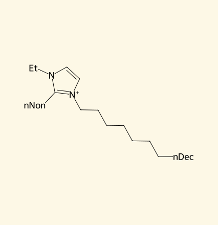 CCCCCCCCCCCCCCCCC[n+]1ccn(CC)c1CCCCCCCCC